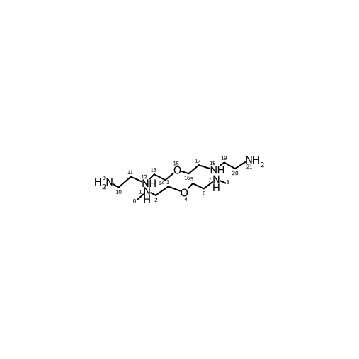 CNCCOCCNC.NCCNCCOCCNCCN